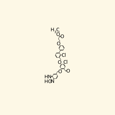 CCOC(=O)CCOc1cccc(-c2cccc(COc3cc(OCC4=CC(=N)/C(=N\O)C=C4)c(C=O)cc3Cl)c2Cl)c1